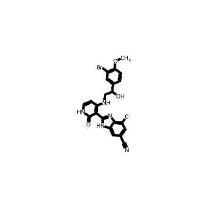 COc1ccc(C(O)CNc2cc[nH]c(=O)c2-c2nc3c(Cl)cc(C#N)cc3[nH]2)cc1Br